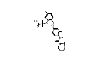 Cc1ccc(COc2ccc(NC(=S)N3CCCCN3)c(F)c2)c(OC(C)(C)C(=O)O)c1